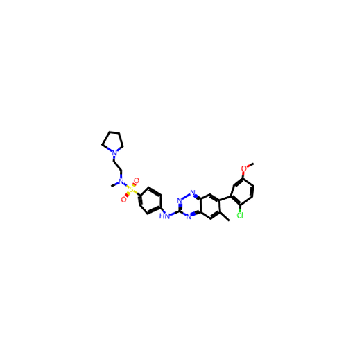 COc1ccc(Cl)c(-c2cc3nnc(Nc4ccc(S(=O)(=O)N(C)CCN5CCCC5)cc4)nc3cc2C)c1